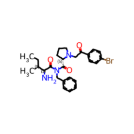 CC[C@H](C)[C@H](N)C(=O)N(Cc1ccccc1)C(=O)[C@@H]1CCCN1CC(=O)c1ccc(Br)cc1